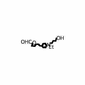 CCN(CCCCCO)c1ccc(C=Cc2ccc(C=O)o2)cc1